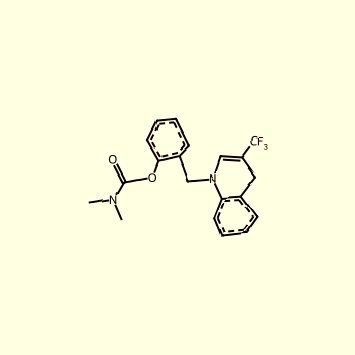 CN(C)C(=O)Oc1ccccc1CN1C=C(C(F)(F)F)Cc2ccccc21